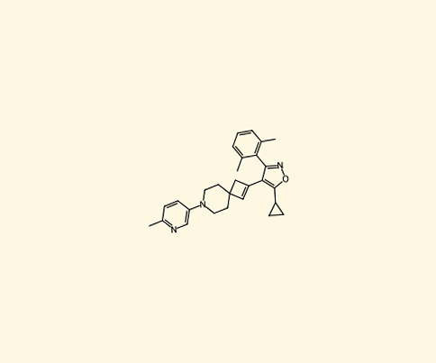 Cc1ccc(N2CCC3(C=C(c4c(-c5c(C)cccc5C)noc4C4CC4)C3)CC2)cn1